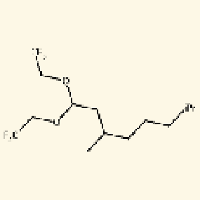 CC(C)CCCC(C)CC(OCC(F)(F)F)OCC(F)(F)F